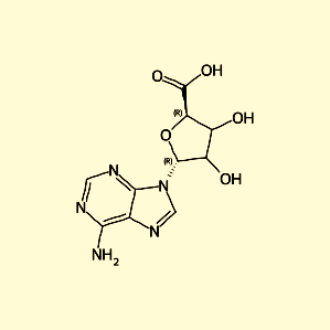 Nc1ncnc2c1ncn2[C@@H]1O[C@@H](C(=O)O)C(O)C1O